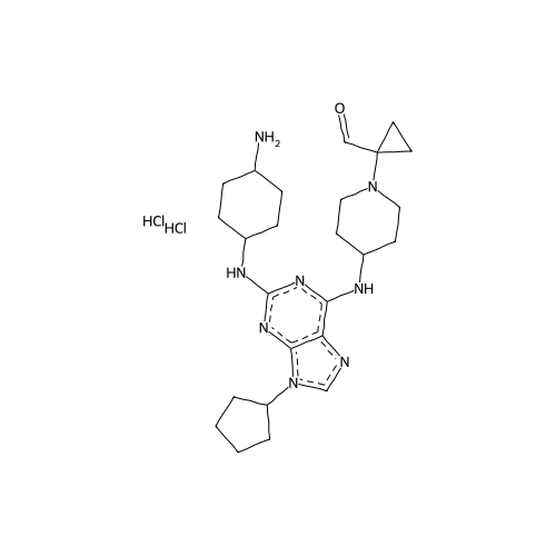 Cl.Cl.NC1CCC(Nc2nc(NC3CCN(C4(C=O)CC4)CC3)c3ncn(C4CCCC4)c3n2)CC1